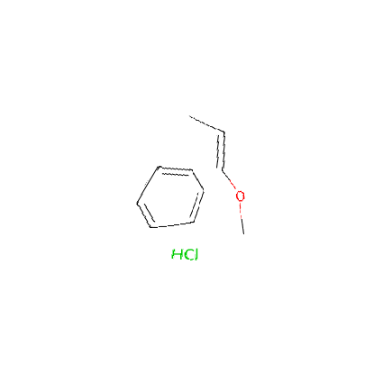 CC=COC.Cl.c1ccccc1